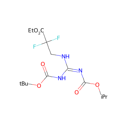 CCOC(=O)C(F)(F)CN/C(=N/C(=O)OC(C)C)NC(=O)OC(C)(C)C